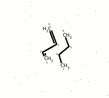 C=CC=C.CCCC